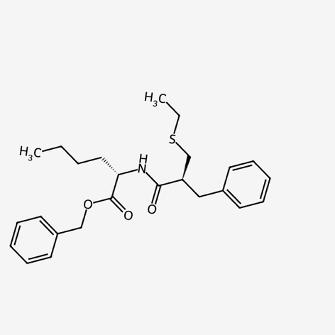 CCCC[C@H](NC(=O)[C@@H](CSCC)Cc1ccccc1)C(=O)OCc1ccccc1